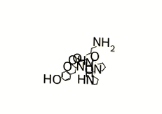 NCCCC[C@H](NC(=O)[C@@H]1CCCN1C(=O)[C@@H]1CCCN1)C(=O)N[C@@H](Cc1ccc(O)cc1)C(=O)O